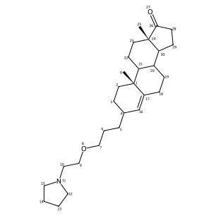 C[C@]12CCC(CCCOCCN3CCCC3)C=C1CCC1C2CC[C@]2(C)C(=O)CCC12